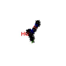 O=C(O)C1(Cc2nc3cc(OCc4ccc5ccccc5n4)ccc3n2Cc2cccc(-c3ccc(F)cc3)c2)CCCC1